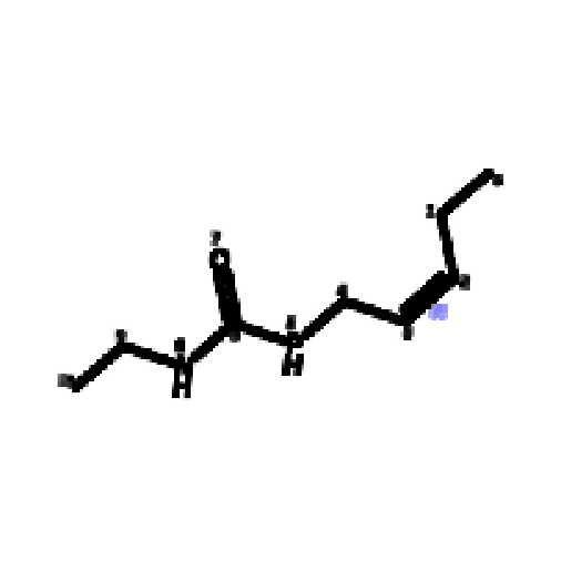 CC/C=C\CPC(=O)NCC